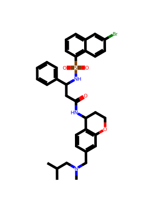 CC(C)CN(C)Cc1ccc2c(c1)OCCC2NC(=O)CC(NS(=O)(=O)c1cccc2cc(Br)ccc12)c1ccccc1